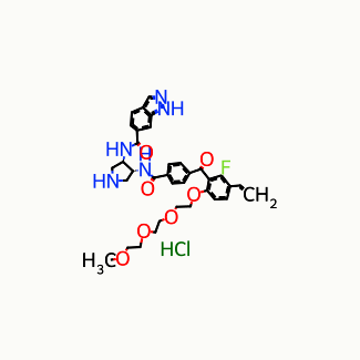 C=Cc1ccc(OCCOCCOCCOC)c(C(=O)c2ccc(C(=O)N[C@@H]3CNC[C@H]3NC(=O)c3ccc4cn[nH]c4c3)cc2)c1F.Cl